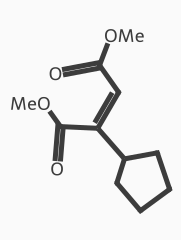 COC(=O)C=C(C(=O)OC)C1CCCC1